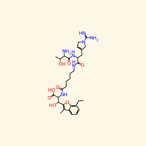 CCc1cccc2c(C)c(C(O)C(NC(=O)CCCCCNC(=O)C(CC3=CCN(C(=N)N)C3)NC(=O)C(N)C(C)O)C(=O)O)oc12